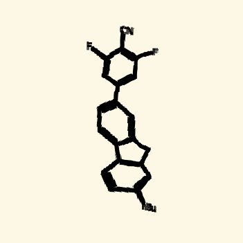 CCCCc1ccc2c(c1)Cc1cc(-c3cc(F)c(C#N)c(F)c3)ccc1-2